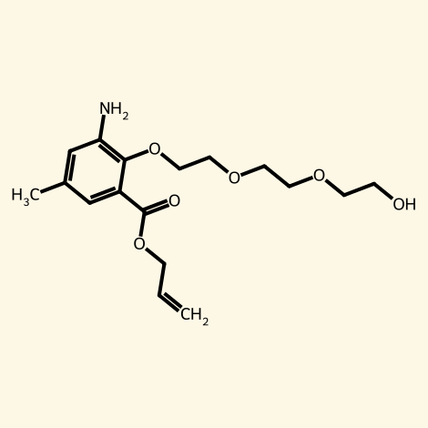 C=CCOC(=O)c1cc(C)cc(N)c1OCCOCCOCCO